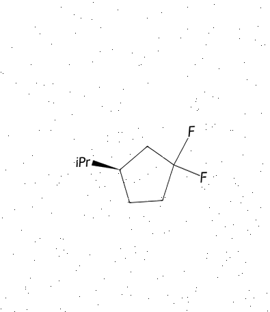 CC(C)[C@@H]1CCC(F)(F)C1